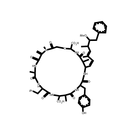 C=C1C(=O)NC(C)C(=O)NC(CC(C)C)C(=O)NC(C(=O)O)C(C)C(=O)NC(Cc2ccc(O)cc2)C(=O)NC(/C=C\C(C)=C\C(C)C(Cc2ccccc2)OC)C(C)C(=O)NC(C(=O)O)CCC(=O)N1C